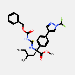 CC(CC#N)C[C@](NC(=S)NC(=O)OCc1ccccc1)(C(=O)OC(C)C)c1ccc(-c2cnn(C(F)F)c2)cc1